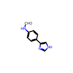 O=CNc1ccc(-c2c[nH]cn2)cc1